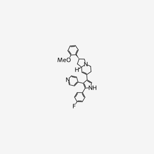 COc1ccccc1[C@@H]1C[C@H]2C=C(c3c[nH]c(-c4ccc(F)cc4)c3-c3ccncc3)CCN2C1